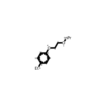 CCCOCCOc1ccc(CC)cc1